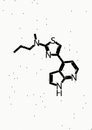 CCCN(C)c1nc(-c2ccnc3[nH]ccc23)cs1